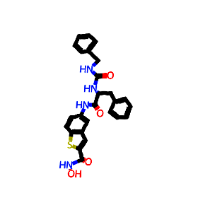 O=C(NCc1ccccc1)NC(Cc1ccccc1)C(=O)Nc1ccc2sc(C(=O)NO)cc2c1